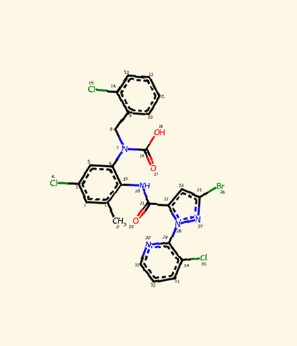 Cc1cc(Cl)cc(N(Cc2ccccc2Cl)C(=O)O)c1NC(=O)c1cc(Br)nn1-c1ncccc1Cl